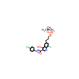 CC(C)(C)O[PH](=O)OCCCc1cc(F)c2ncc(C(=O)NCc3ccc(Cl)cc3)c(O)c2c1